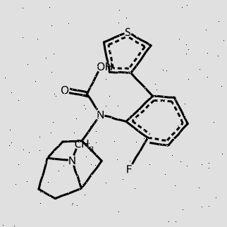 CN1C2CCC1CC(N(C(=O)O)c1c(F)cccc1-c1ccsc1)C2